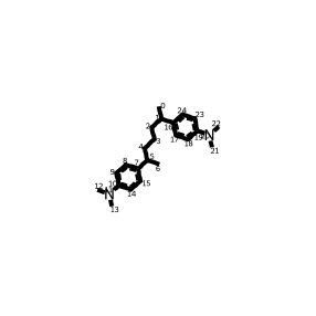 CC(CCCC(C)c1ccc(N(C)C)cc1)c1ccc(N(C)C)cc1